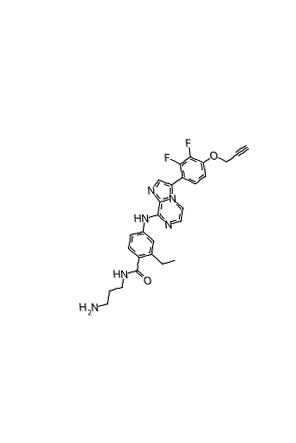 C#CCOc1ccc(-c2cnc3c(Nc4ccc(C(=O)NCCCN)c(CC)c4)nccn23)c(F)c1F